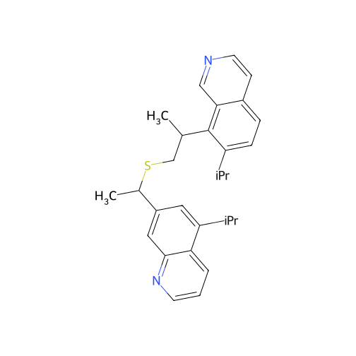 CC(C)c1ccc2ccncc2c1C(C)CSC(C)c1cc(C(C)C)c2cccnc2c1